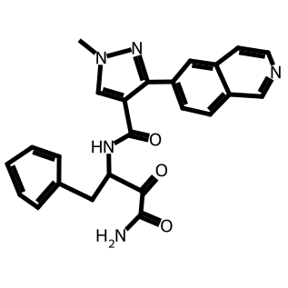 Cn1cc(C(=O)NC(Cc2ccccc2)C(=O)C(N)=O)c(-c2ccc3cnccc3c2)n1